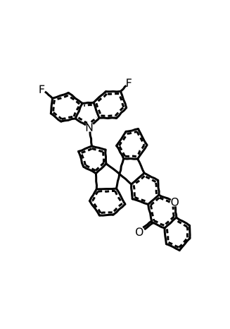 O=c1c2ccccc2oc2cc3c(cc12)C1(c2ccccc2-c2ccc(-n4c5ccc(F)cc5c5cc(F)ccc54)cc21)c1ccccc1-3